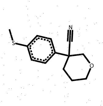 CSc1ccc(C2(C#N)CCCOC2)cc1